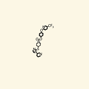 O=C(Oc1ccc(Oc2ccc(C(F)(F)F)cn2)cc1)N1CCC(Sc2nccn2-c2cccnc2)CC1